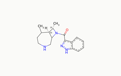 CC1CCNCC2[C@@H]1[C@H](C)N2C(=O)c1n[nH]c2ccccc12